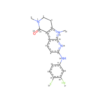 CN1CCc2c(c3ccc(Nc4ccc(F)c([18F])c4)nc3n2C)C1=O